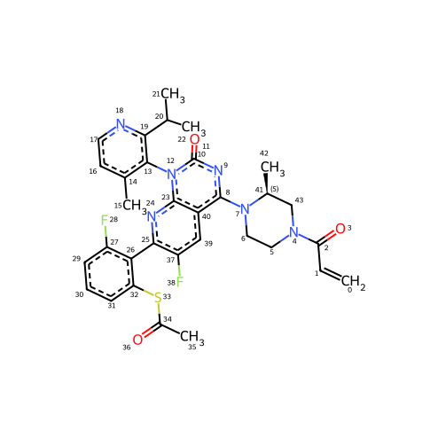 C=CC(=O)N1CCN(c2nc(=O)n(-c3c(C)ccnc3C(C)C)c3nc(-c4c(F)cccc4SC(C)=O)c(F)cc23)[C@@H](C)C1